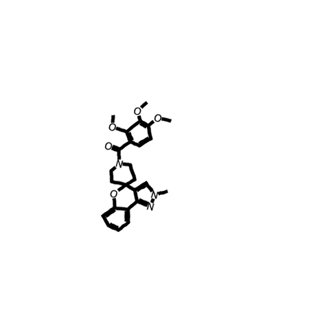 COc1ccc(C(=O)N2CCC3(CC2)Oc2ccccc2-c2nn(C)cc23)c(OC)c1OC